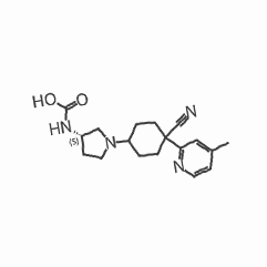 Cc1ccnc(C2(C#N)CCC(N3CC[C@H](NC(=O)O)C3)CC2)c1